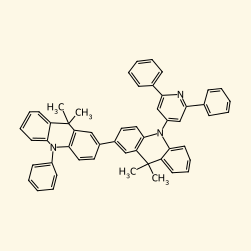 CC1(C)c2ccccc2N(c2ccccc2)c2ccc(-c3ccc4c(c3)C(C)(C)c3ccccc3N4c3cc(-c4ccccc4)nc(-c4ccccc4)c3)cc21